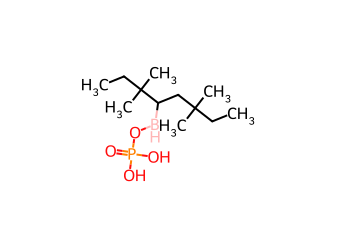 CCC(C)(C)CC(BOP(=O)(O)O)C(C)(C)CC